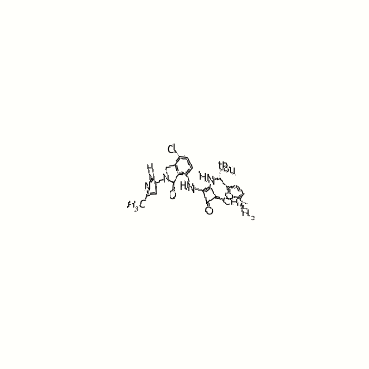 C=C1C(=O)C(Nc2ccc(Cl)c3c2C(=O)N(c2cc(C)n[nH]2)C3)=C1N[C@@H](c1ccc(C)o1)C(C)(C)C